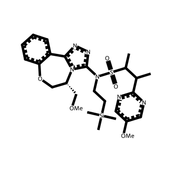 COC[C@@H]1COc2ccccc2-c2nnc(N(CC[Si](C)(C)C)S(=O)(=O)C(C)C(C)c3ncc(OC)cn3)n21